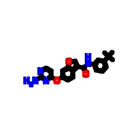 CC(C)(C)c1cccc(NC(=O)c2coc3cc(Oc4ccnc(N)n4)ccc23)c1